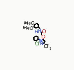 COc1ccc(CNC(=O)COc2cc(C(F)(F)F)nn2-c2ccccc2Cl)cc1OC